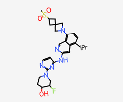 CC(C)c1ccc(N2CC3(CC(S(C)(=O)=O)C3)C2)c2cnc(Nc3ccnc(N4CCC(O)C(F)C4)n3)cc12